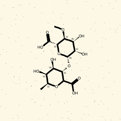 CO[C@H]1[C@H](O)[C@H](O)[C@H](O[C@@H]2C(C(=O)O)O[C@@H](C)[C@@H](O)[C@H]2O)O[C@@H]1C(=O)O